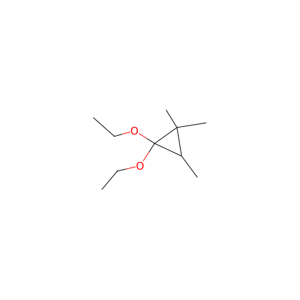 CCOC1(OCC)C(C)C1(C)C